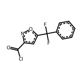 O=C(Cl)c1cc(C(F)(F)c2ccccc2)on1